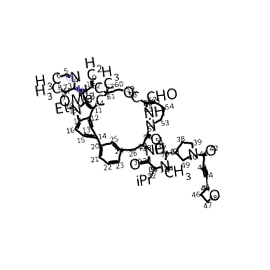 C=C/C(=C(\N=C/C)[C@H](C)OC)c1c2c3cc(ccc3n1CC)-c1cccc(c1)C[C@H](NC(=O)[C@H](C(C)C)N(C)C(=O)[C@H]1CCN(C(=O)C#C[C@@H]3CCO3)C1)C(=O)N1CCC[C@](C=O)(COCC(C)(C)C2)N1